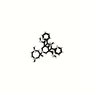 COC(=O)C12CN(C3(C)CN(C)CCN(C)C3)CC(C(=O)OC)(C1=O)C(c1ccccn1)N(C)C2c1ccccn1